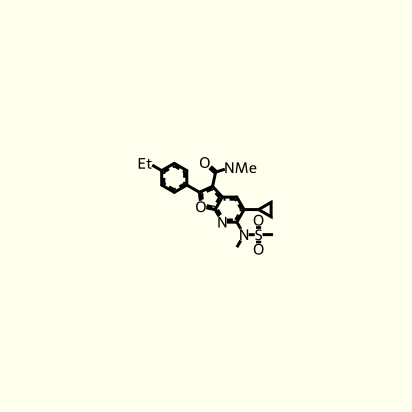 CCc1ccc(-c2oc3nc(N(C)S(C)(=O)=O)c(C4CC4)cc3c2C(=O)NC)cc1